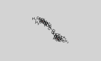 C[C@H]1CC[C@@]2(OC1)O[C@H]1C[C@H]3[C@@H]4CC=C5C[C@@H](OC(=O)CCC(=O)O[C@H]6CC[C@@]7(C)C(=CC[C@H]8[C@@H]9C[C@@H]%10O[C@]%11(CC[C@H](C)CO%11)[C@@H](C)[C@@H]%10[C@@]9(C)CC[C@@H]87)C6)CC[C@]5(C)[C@H]4CC[C@]3(C)[C@H]1[C@@H]2C